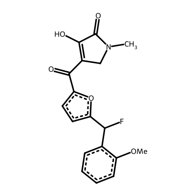 COc1ccccc1C(F)c1ccc(C(=O)C2=C(O)C(=O)N(C)C2)o1